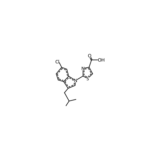 CC(C)Cc1cn(-c2nc(C(=O)O)cs2)c2cc(Cl)ccc12